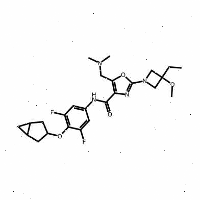 CCC1(OC)CN(c2nc(C(=O)Nc3cc(F)c(OC4CC5CC5C4)c(F)c3)c(CN(C)C)o2)C1